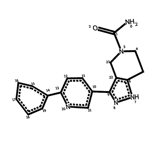 NC(=O)N1CCc2[nH]nc(-c3ccc(-c4ccccc4)nc3)c2C1